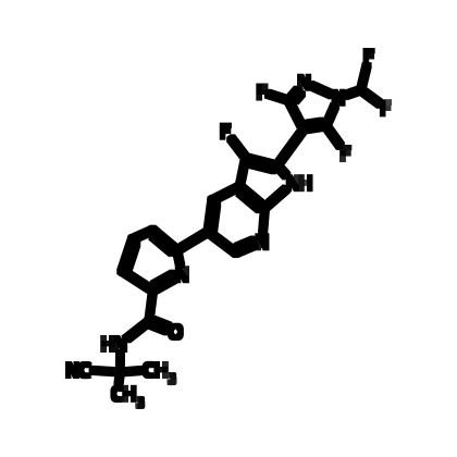 CC(C)(C#N)NC(=O)c1cccc(-c2cnc3[nH]c(-c4c(F)nn(C(F)F)c4F)c(F)c3c2)n1